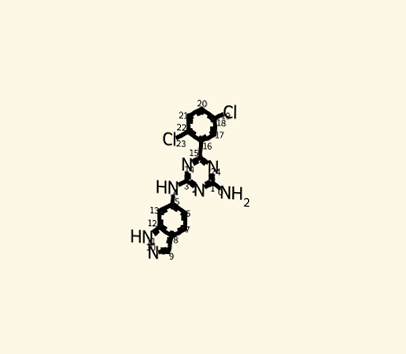 Nc1nc(Nc2ccc3cn[nH]c3c2)nc(-c2cc(Cl)ccc2Cl)n1